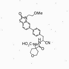 COCCn1c(=O)sc2ccc(-c3ccc(CC(C#N)NC(=O)C4(NC(=O)O)CCOCC4)cc3)cc21